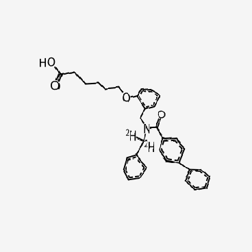 [2H]C([2H])(c1ccccc1)N(Cc1ccccc1OCCCCCC(=O)O)C(=O)c1ccc(-c2ccccc2)cc1